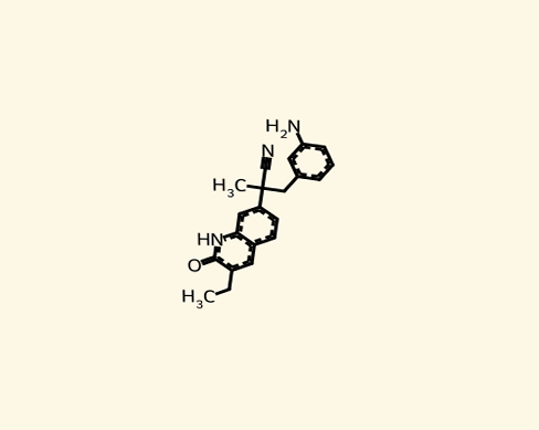 CCc1cc2ccc(C(C)(C#N)Cc3cccc(N)c3)cc2[nH]c1=O